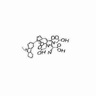 CCn1c2ccccc2c2cc(-c3ccc(C=c4c(=O)n(CC(=O)O)c(=C(C#N)C(=O)O)n(CC(=O)O)c4=O)s3)ccc21